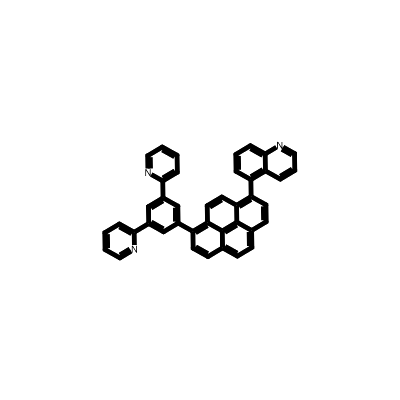 c1ccc(-c2cc(-c3ccccn3)cc(-c3ccc4ccc5ccc(-c6cccc7ncccc67)c6ccc3c4c56)c2)nc1